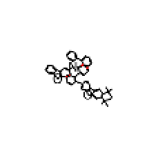 CC1(C)CCC(C)(C)c2cc3c(cc21)oc1cc(-c2ccc#cc2-c2ccccc2N(C2=Cc4c(oc5ccccc45)CC2)c2ccccc2-c2ccccc2)ccc13